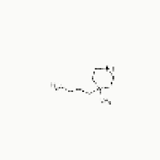 [CH2]CCC[N+]1(C)CCNCC1